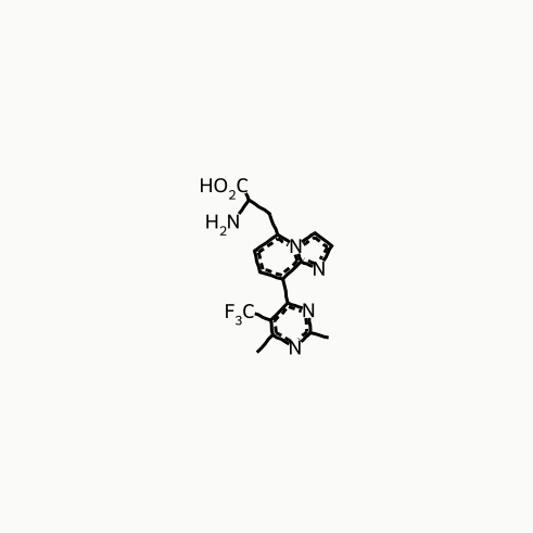 Cc1nc(C)c(C(F)(F)F)c(-c2ccc(CC(N)C(=O)O)n3ccnc23)n1